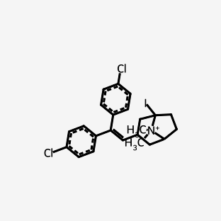 C[N+]1(C)C2CCC1(I)CC(C=C(c1ccc(Cl)cc1)c1ccc(Cl)cc1)C2